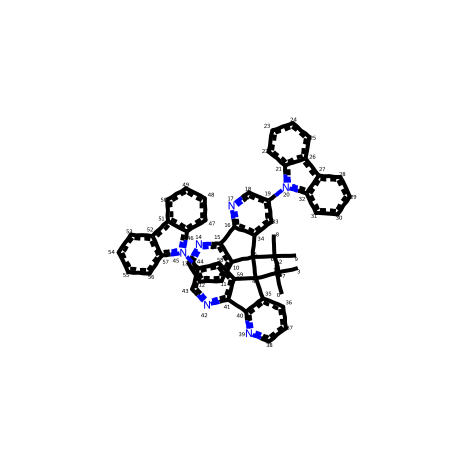 CC(C)(C)C1(C2(C(C)(C)C)c3cccnc3-c3ncc(-n4c5ccccc5c5ccccc54)cc32)c2cccnc2-c2ncc(-n3c4ccccc4c4ccccc43)cc21